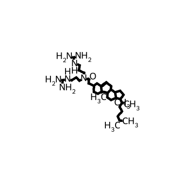 CC(C)CCCC(C)C1CCC2C3CC=C4CC(CC(=O)N(CCCNC(N)N)CCCNC(N)N)CCC4(C)C3CCC12C